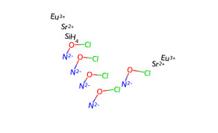 [Eu+3].[Eu+3].[N-2]OCl.[N-2]OCl.[N-2]OCl.[N-2]OCl.[N-2]OCl.[SiH4].[Sr+2].[Sr+2]